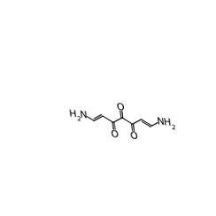 NC=CC(=O)C(=O)C(=O)C=CN